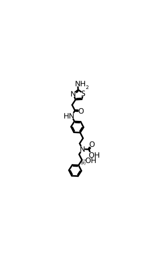 Nc1nc(CC(=O)Nc2ccc(CCN(C[C@H](O)c3ccccc3)C(=O)O)cc2)cs1